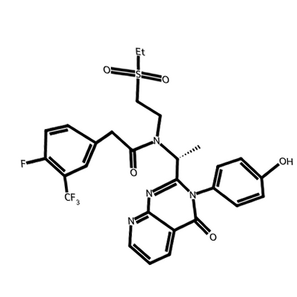 CCS(=O)(=O)CCN(C(=O)Cc1ccc(F)c(C(F)(F)F)c1)[C@H](C)c1nc2ncccc2c(=O)n1-c1ccc(O)cc1